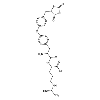 N=C(N)NCCCC(NC(=O)C(N)Cc1ccc(Oc2ccc(CC3SC(=O)NC3=O)cc2)cc1)C(=O)O